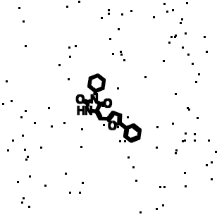 O=C1NC(=Cc2ccc(-c3ccccc3)o2)C(=O)N1C1CCCCC1